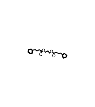 O=C(CCCc1ccccc1)OCCCOC(=O)CCCc1ccccc1